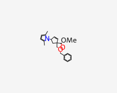 COC(=O)C1(COCc2ccccc2)C=CC(n2c(C)ccc2C)C1